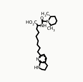 C[C@@H]1CCC[C@H](C)N1C(=O)NC(CCCCCCCc1ccc2c(n1)NCCC2)C(=O)O